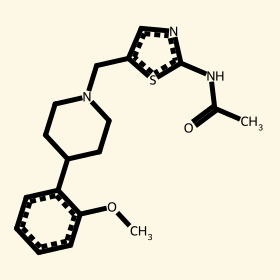 COc1ccccc1C1CCN(Cc2cnc(NC(C)=O)s2)CC1